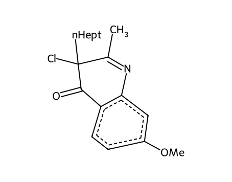 CCCCCCCC1(Cl)C(=O)c2ccc(OC)cc2N=C1C